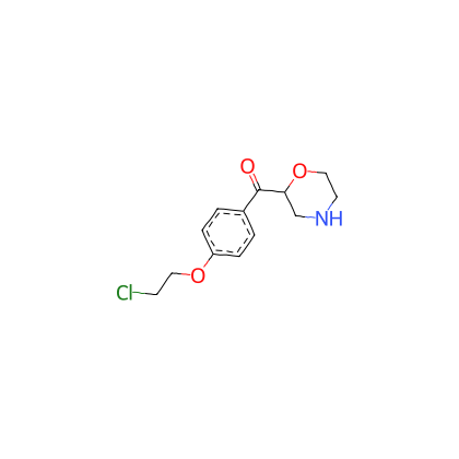 O=C(c1ccc(OCCCl)cc1)C1CNCCO1